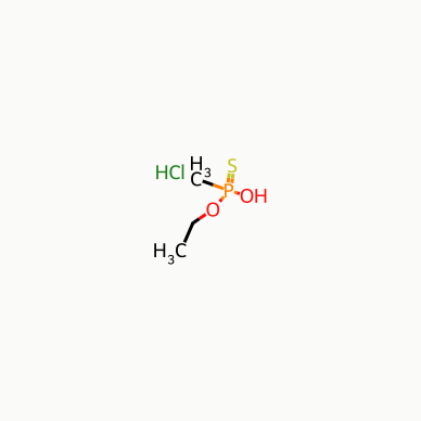 CCOP(C)(O)=S.Cl